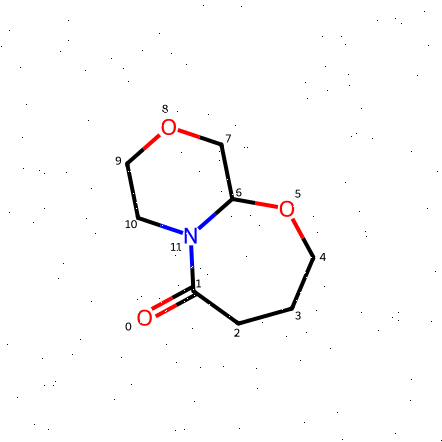 O=C1CCCOC2COCCN12